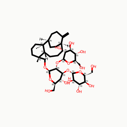 C=C1CC[C@H]2CC[C@@H]1CCC[C@@H]1[C@](C)(CO[C@@H]3O[C@H](CO)[C@@H](O)[C@H](O[C@@H]4O[C@H](CO)[C@@H](O)[C@H](O)[C@H]4O)[C@H]3O[C@@H]3O[C@H](CO)[C@@H](O)[C@H](O)[C@H]3O)CCC[C@@]21C